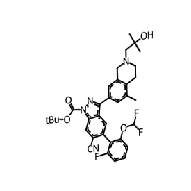 Cc1cc(-c2nn(C(=O)OC(C)(C)C)c3cc(C#N)c(-c4c(F)cccc4OC(F)F)cc23)cc2c1CCN(CC(C)(C)O)C2